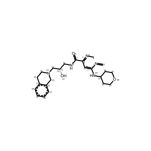 C=N/C(=C\C(=N/C)C(=O)NC[C@H](O)CN1CCc2ccccc2C1)NC1CCOCC1